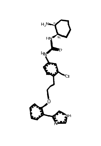 N[C@H]1CCCC[C@H]1NC(=O)Nc1ccc(CCOc2ccccc2-c2c[nH]cn2)c(Cl)c1